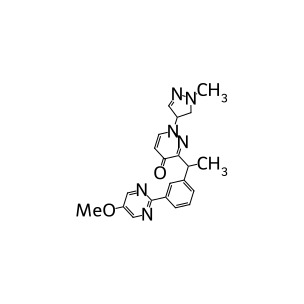 COc1cnc(-c2cccc(C(C)c3nn(C4C=NN(C)C4)ccc3=O)c2)nc1